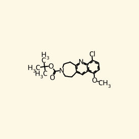 COc1ccc(Cl)c2nc3c(cc12)CCN(C(=O)OC(C)(C)C)CC3